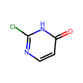 O=c1ccnc(Cl)[nH]1